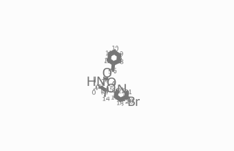 C[C@H](NC(=O)OCc1ccccc1)[C@H](C)Oc1ccc(Br)cn1